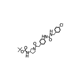 CC(C)(C)OC(=O)N[C@@H]1CCN(C(=O)Cc2ccc(NC(=O)NCc3ccc(Cl)cc3)cc2)C1